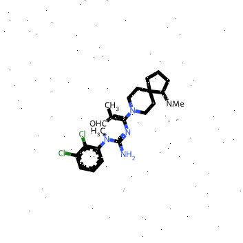 CNC1CCCC12CCN(C(/N=C(/N)N(C)c1cccc(Cl)c1Cl)=C(\C)C=O)CC2